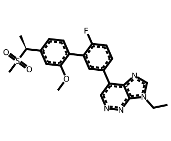 CCn1cnc2c(-c3ccc(F)c(-c4ccc([C@H](C)S(C)(=O)=O)cc4OC)c3)cnnc21